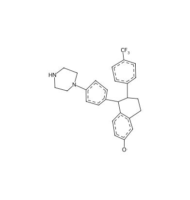 [O]c1ccc2c(c1)CCC(c1ccc(C(F)(F)F)cc1)C2c1ccc(N2CCNCC2)cc1